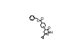 O=C(OCc1ccccc1)C1CCN(C2CC(C3CC3)=NNC2=O)CC1